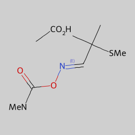 CC(=O)O.CNC(=O)O/N=C/C(C)(C)SC